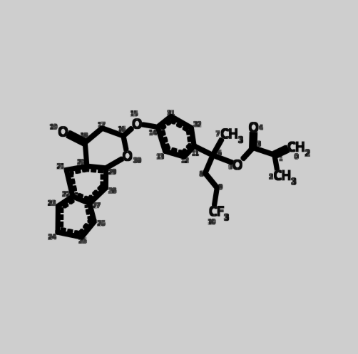 C=C(C)C(=O)OC(C)(CCC(F)(F)F)c1ccc(OC2CC(=O)c3cc4ccccc4cc3O2)cc1